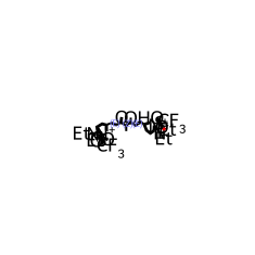 CCN(CC)c1ccc(/C=C/C(=O)/C(C)=C(O)/C=C/c2ccc(N(CC)CC)[n+](S(=O)(=O)C(F)(F)F)c2)c[n+]1S(=O)(=O)C(F)(F)F